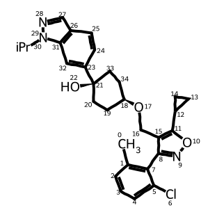 Cc1cccc(Cl)c1-c1noc(C2CC2)c1CO[C@H]1CC[C@](O)(c2ccc3cnn(C(C)C)c3c2)CC1